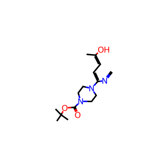 C=N/C(=C\C=C(/C)O)N1CCN(C(=O)OC(C)(C)C)CC1